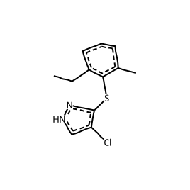 CCc1cccc(C)c1Sc1n[nH]cc1Cl